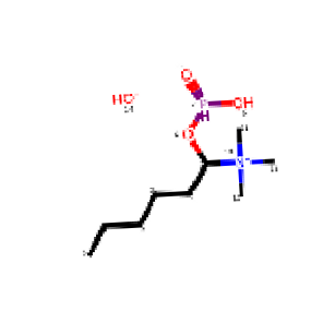 CCCCCC(O[PH](=O)O)[N+](C)(C)C.[OH-]